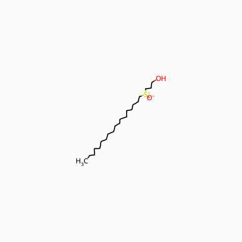 CCCCCCCCCCCCCCCCCC[S+]([O-])CCCO